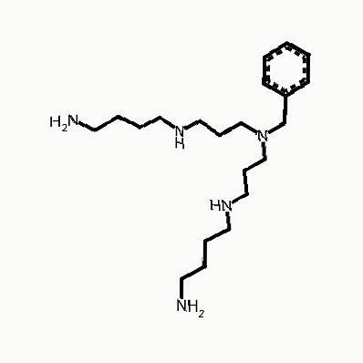 NCCCCNCCCN(CCCNCCCCN)Cc1ccccc1